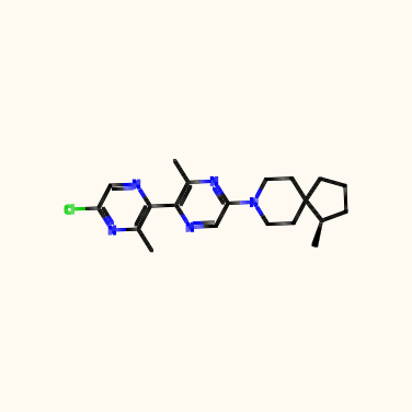 Cc1nc(Cl)cnc1-c1ncc(N2CCC3(CCC[C@H]3C)CC2)nc1C